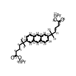 CCCOC(=O)CCCC(C)(C)c1ccc2cc3cc(C(C)(C)CCCC(=O)OCCC)ccc3cc2c1